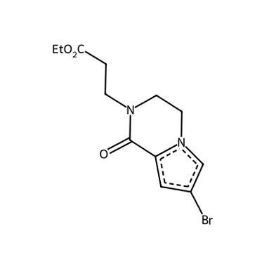 CCOC(=O)CCN1CCn2cc(Br)cc2C1=O